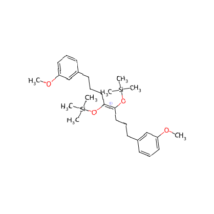 COc1cccc(CCC/C(O[Si](C)(C)C)=C(/CCCc2cccc(OC)c2)O[Si](C)(C)C)c1